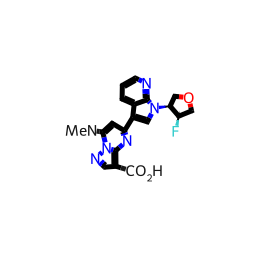 CNc1cc(-c2cn([C@H]3COC[C@H]3F)c3ncccc23)nc2c(C(=O)O)cnn12